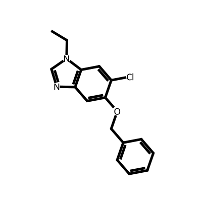 CCn1cnc2cc(OCc3ccccc3)c(Cl)cc21